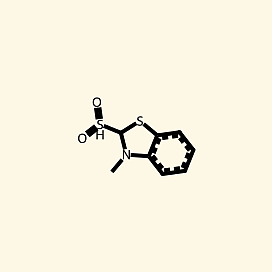 CN1c2ccccc2SC1[SH](=O)=O